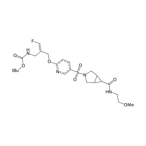 COCCNC(=O)C1C2CN(S(=O)(=O)c3ccc(OCC(=CF)CNC(=O)OC(C)(C)C)nc3)CC21